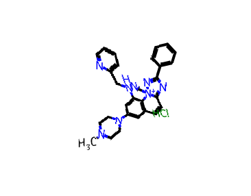 CN1CCN(c2cc3c(c(NCc4ccccn4)c2)[N+]2(C#N)N=C(c4ccccc4)N=C2C=C3)CC1.Cl